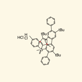 Cl.Cl.[CH2]=[Zr]([CH3])([C]1=CC(C(C)(C)C)=CC1C)([c]1ccc(C)cc1)[c]1c2c(cc(C(C)(C)C)c1-c1ccccc1)-c1cc(C(C)(C)C)c(-c3ccccc3)cc1C2